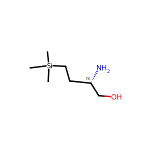 C[Si](C)(C)CC[C@H](N)CO